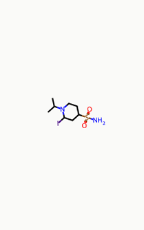 CC(C)N1CCC(S(N)(=O)=O)CC1I